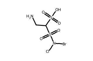 NCC(S(=O)(=O)O)S(=O)(=O)N(Cl)Br